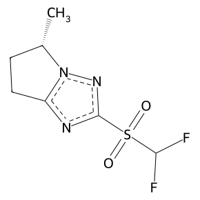 C[C@H]1CCc2nc(S(=O)(=O)C(F)F)nn21